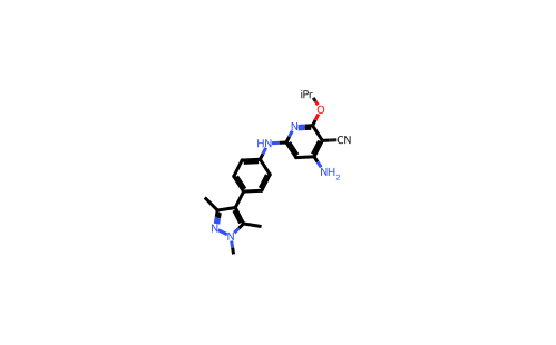 Cc1nn(C)c(C)c1-c1ccc(Nc2cc(N)c(C#N)c(OC(C)C)n2)cc1